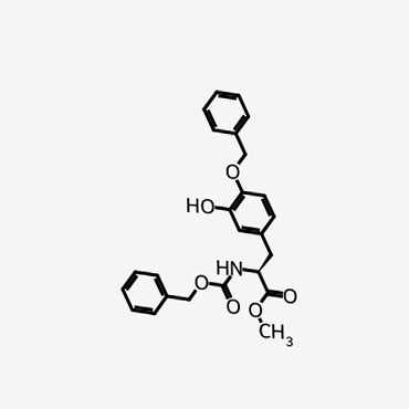 COC(=O)[C@H](Cc1ccc(OCc2ccccc2)c(O)c1)NC(=O)OCc1ccccc1